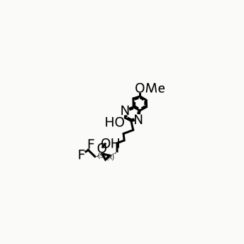 COc1ccc2nc(CCCCC[C@@H]3C[C@@]3(CC(F)F)OO)c(O)nc2c1